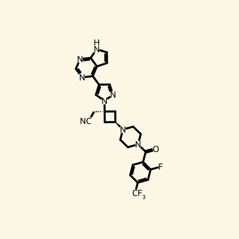 N#CC[C@]1(n2cc(-c3ncnc4[nH]ccc34)cn2)C[C@@H](N2CCN(C(=O)c3ccc(C(F)(F)F)cc3F)CC2)C1